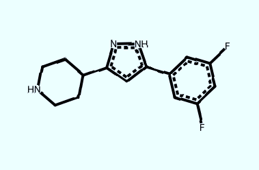 Fc1cc(F)cc(-c2cc(C3CCNCC3)n[nH]2)c1